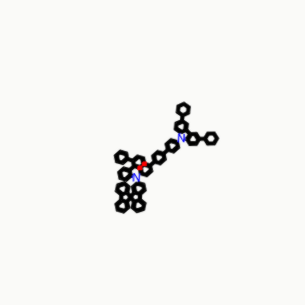 c1ccc(-c2ccccc2-c2ccccc2N(c2ccc(-c3ccc(-c4ccc(-n5c6ccc(C7CCCCC7)cc6c6cc(C7CCCCC7)ccc65)cc4)cc3)cc2)c2ccc3c(c2)C2(c4ccccc4-c4ccccc42)c2ccccc2-3)cc1